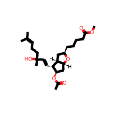 COC(=O)CCCC[C@@H]1C[C@@H]2[C@@H](C=CC(C)(O)CCC=C(C)C)[C@H](OC(C)=O)C[C@@H]2O1